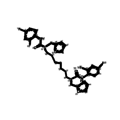 O=C(Nc1ccc(F)cc1F)N(CCCCCCCN(Cc1ccco1)C(=O)Nc1ccc(F)cc1F)Cc1ccco1